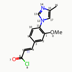 COc1cc(/C=C/C(=O)Cl)ccc1-n1cnc(C)c1